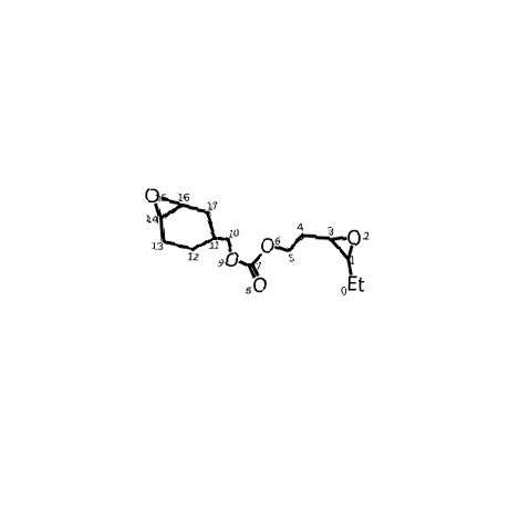 CCC1OC1CCOC(=O)OCC1CCC2OC2C1